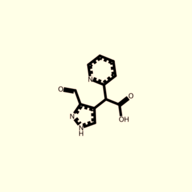 O=Cc1n[nH]cc1C(C(=O)O)c1ccccn1